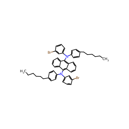 CCCCCCc1ccc(N(c2cccc(Br)c2)c2c3ccccc3c(N(c3ccc(CCCCCC)cc3)c3cccc(Br)c3)c3ccccc23)cc1